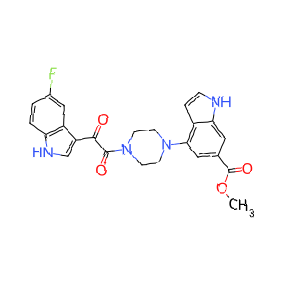 COC(=O)c1cc(N2CCN(C(=O)C(=O)c3c[nH]c4ccc(F)cc34)CC2)c2cc[nH]c2c1